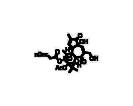 CCCCCCCCCCCC(=O)O[C@@H]1[C@@H](C)[C@@]2(O)[C@@H](C(=O)C(CO)=C[C@]3(O)C(=O)C(C)=C[C@@H]23)[C@@H]2C(C)(C)[C@]12OC(C)=O